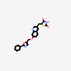 O=C1NC(=O)C(Cc2cnc3cc(OCc4cnc(-c5ccccc5)o4)ccc3c2)S1